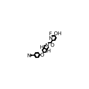 N#Cc1ccc(O[C@@H]2C[C@@H]3CN(CC(=O)c4ccc(O)c(F)n4)C[C@@H]3C2)cc1